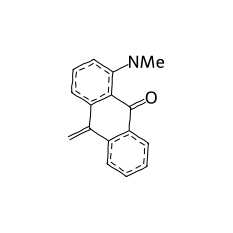 C=C1c2ccccc2C(=O)c2c(NC)cccc21